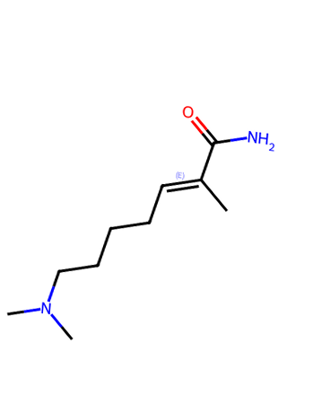 C/C(=C\CCCCN(C)C)C(N)=O